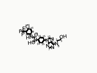 CN(CCO)c1ncnc2c1ncn2-c1ccc(N(O)C(=O)Nc2ccc(Cl)c(C(F)(F)F)c2)cc1